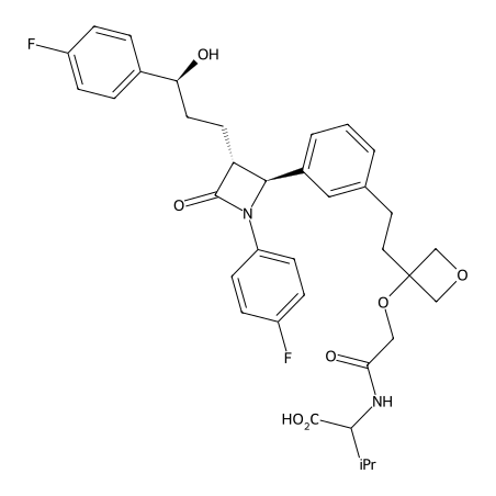 CC(C)C(NC(=O)COC1(CCc2cccc([C@@H]3[C@@H](CC[C@H](O)c4ccc(F)cc4)C(=O)N3c3ccc(F)cc3)c2)COC1)C(=O)O